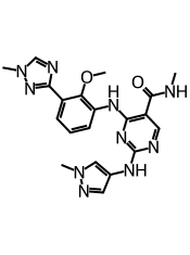 CNC(=O)c1cnc(Nc2cnn(C)c2)nc1Nc1cccc(-c2ncn(C)n2)c1OC